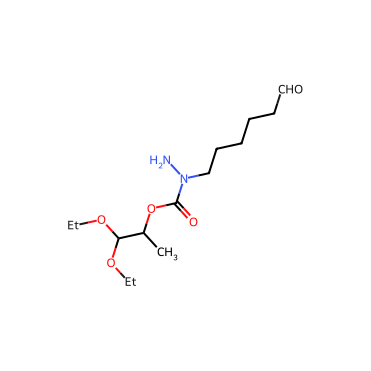 CCOC(OCC)C(C)OC(=O)N(N)CCCCCC=O